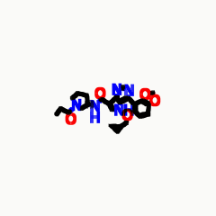 CCC(=O)N1CCC[C@@H](NC(=O)c2c[nH]c3c(-c4c(OCC5CC5)ccc5c4OCO5)ncnc23)C1